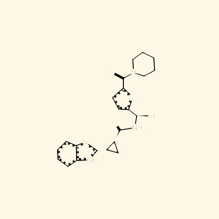 C[C@@H](NC(=O)[C@H]1C[C@@H]1c1nc2ccccc2[nH]1)c1ccc(C(=O)N2CCCCC2)s1